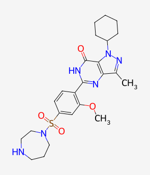 COc1cc(S(=O)(=O)N2CCCNCC2)ccc1-c1nc2c(C)nn(C3CCCCC3)c2c(=O)[nH]1